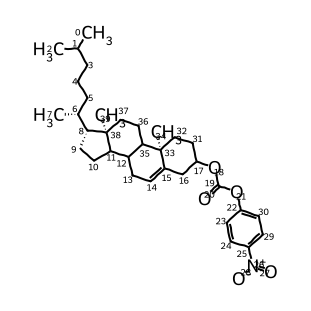 CC(C)CCC[C@@H](C)[C@H]1CCC2C3CC=C4CC(OC(=O)Oc5ccc([N+](=O)[O-])cc5)CC[C@]4(C)C3CC[C@@]21C